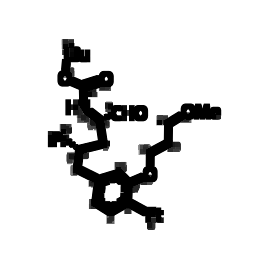 CCc1ccc(C[C@@H](C[C@@H](C=O)NC(=O)OC(C)(C)C)C(C)C)cc1OCCCOC